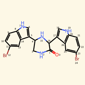 O=C1NCC(c2c[nH]c3ccc(Br)cc23)NC1c1c[nH]c2ccc(Br)cc12